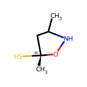 CC1C[C@@](C)(S)ON1